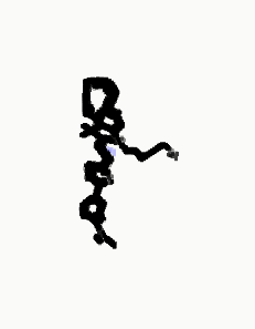 CN(C)c1ccc(-c2ccc(/C=C/C3=[N+](CCCCS)c4ccc5ccccc5c4C3(C)C)s2)cc1